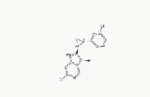 Fc1c([C@H]2C[C@@H]2c2cccc(Cl)c2)[nH]c2cc(Cl)ncc12